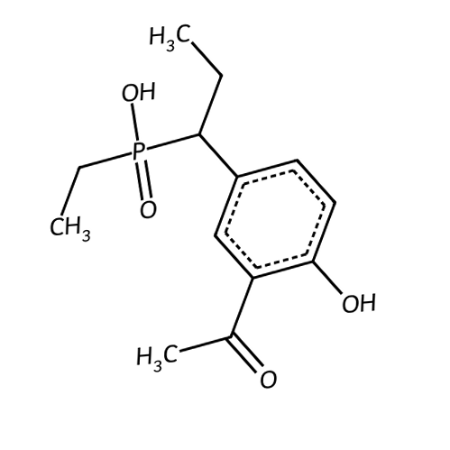 CCC(c1ccc(O)c(C(C)=O)c1)P(=O)(O)CC